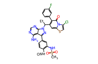 CCC(c1cc2scc(Cl)n2c(=O)c1-c1cccc(F)c1)n1nc(-c2ccc(OC)c(NS(C)(=O)=O)c2)c2c(N)ncnc21